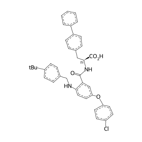 CC(C)(C)c1ccc(CNc2ccc(Oc3ccc(Cl)cc3)cc2C(=O)N[C@@H](Cc2ccc(-c3ccccc3)cc2)C(=O)O)cc1